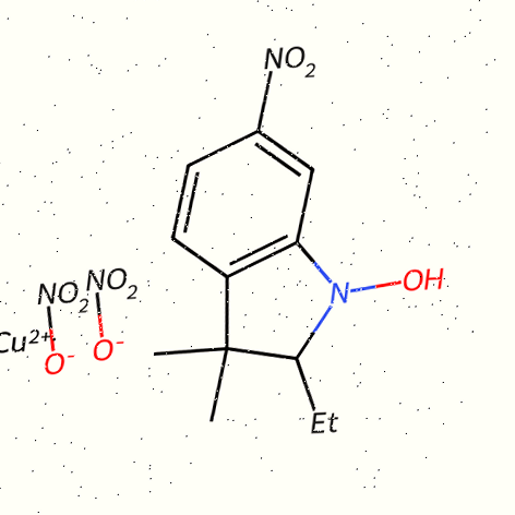 CCC1N(O)c2cc([N+](=O)[O-])ccc2C1(C)C.O=[N+]([O-])[O-].O=[N+]([O-])[O-].[Cu+2]